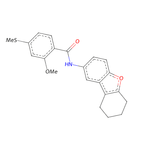 COc1cc(SC)ccc1C(=O)Nc1ccc2oc3c(c2c1)CCCC3